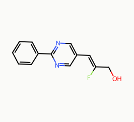 OCC(F)=Cc1cnc(-c2ccccc2)nc1